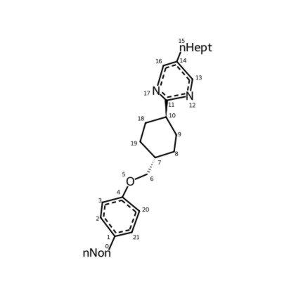 CCCCCCCCCc1ccc(OC[C@H]2CC[C@H](c3ncc(CCCCCCC)cn3)CC2)cc1